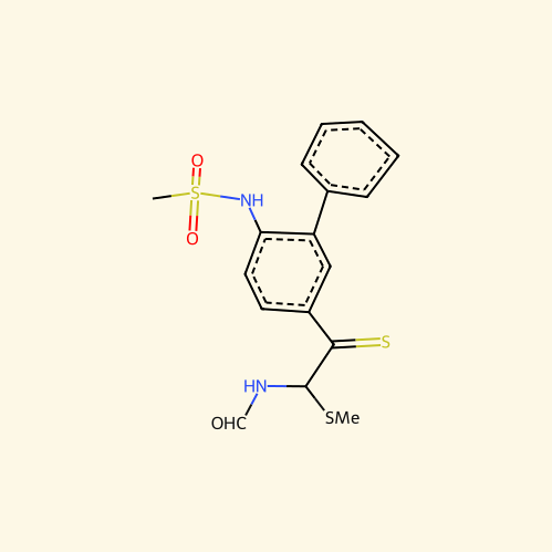 CSC(NC=O)C(=S)c1ccc(NS(C)(=O)=O)c(-c2ccccc2)c1